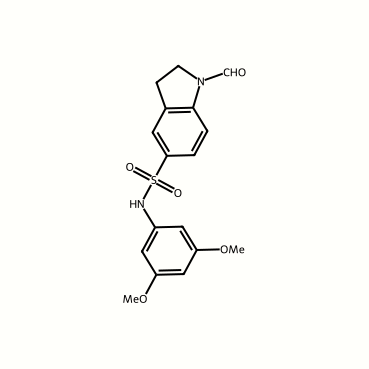 COc1cc(NS(=O)(=O)c2ccc3c(c2)CCN3C=O)cc(OC)c1